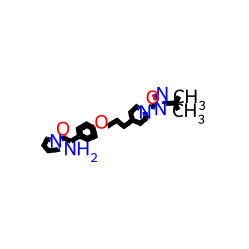 CC(C)c1noc(N2CCC(CCCOc3ccc(C(N)C(=O)N4CCCC4)cc3)CC2)n1